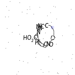 Cc1c2cnc3c1nnn3CCCC/C=C/Cc1ccc(cc1)C(=O)N1CCc3ccc(cc3C1)[C@@H]2CC(=O)O